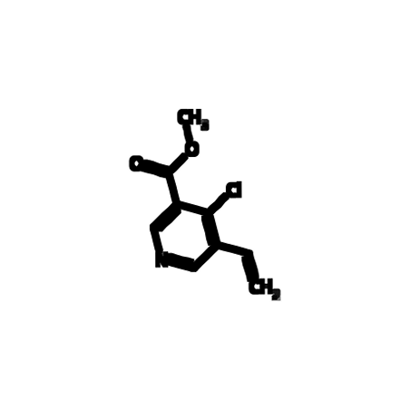 C=Cc1cncc(C(=O)OC)c1Cl